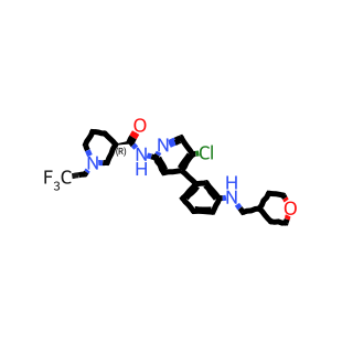 O=C(Nc1cc(-c2cccc(NCC3CCOCC3)c2)c(Cl)cn1)[C@@H]1CCCN(CC(F)(F)F)C1